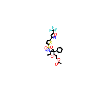 C=C(O)C1(NS(=O)(=O)c2ccc(-c3cc(C(F)(F)F)on3)s2)CC1(CCCOC(C)=O)c1ccccc1